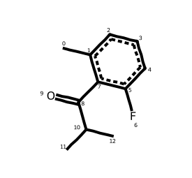 Cc1cccc(F)c1C(=O)C(C)C